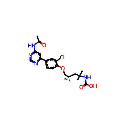 CC(=O)Nc1cc(-c2ccc(OC[C@@H](C)CC(C)(C)NC(=O)O)c(Cl)c2)ncn1